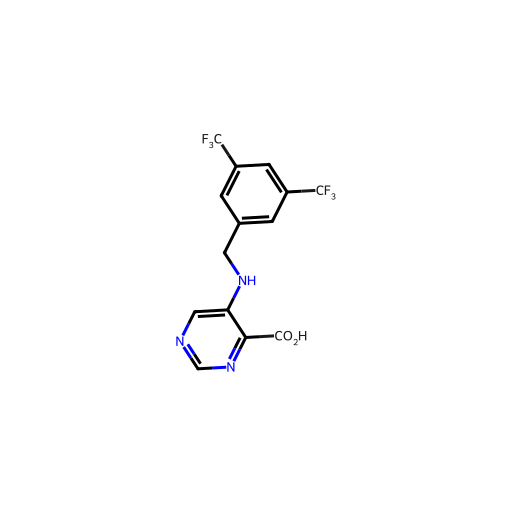 O=C(O)c1ncncc1NCc1cc(C(F)(F)F)cc(C(F)(F)F)c1